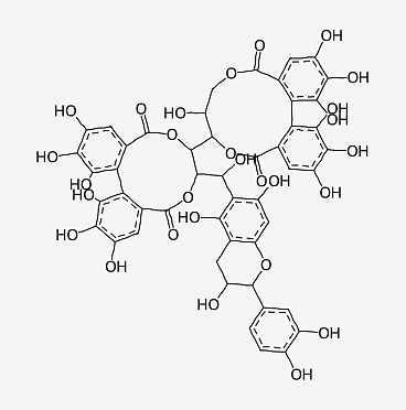 O=C1OCC(O)C(C2OC(=O)c3cc(O)c(O)c(O)c3-c3c(cc(O)c(O)c3O)C(=O)OC2C(O)c2c(O)cc3c(c2O)CC(O)C(c2ccc(O)c(O)c2)O3)OC(=O)c2cc(O)c(O)c(O)c2-c2c1cc(O)c(O)c2O